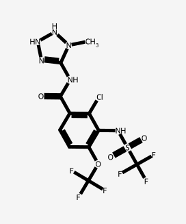 CN1NNN=C1NC(=O)c1ccc(OC(F)(F)F)c(NS(=O)(=O)C(F)(F)F)c1Cl